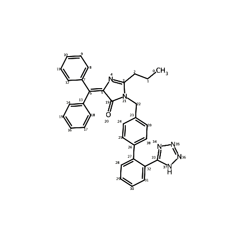 CCCC1=NC(=C(c2ccccc2)c2ccccc2)C(=O)N1Cc1ccc(-c2ccccc2-c2nnn[nH]2)cc1